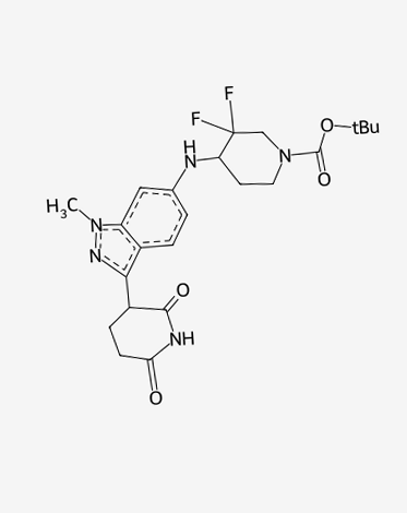 Cn1nc(C2CCC(=O)NC2=O)c2ccc(NC3CCN(C(=O)OC(C)(C)C)CC3(F)F)cc21